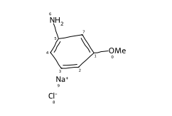 COc1cccc(N)c1.[Cl-].[Na+]